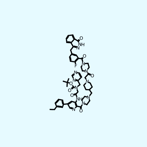 CCc1cccc(-c2cnc(C(=O)N3CCN(CC4CCN(CC(=O)N5CCN(C(=O)c6cc(Cc7n[nH]c(=O)c8ccccc78)ccc6F)CC5)CC4)CC3)c(NC(=O)CN(Cc3ccncn3)C(=O)OC(C)(C)C)c2)c1